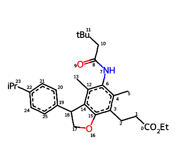 CCOC(=O)CCc1c(C)c(NC(=O)CC(C)(C)C)c(C)c2c1OCC2c1ccc(C(C)C)cc1